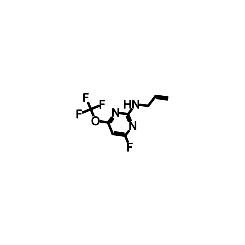 C=CCNc1nc(F)cc(OC(F)(F)F)n1